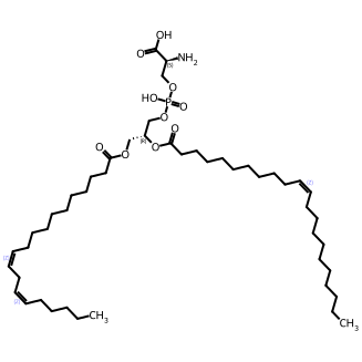 CCCCC/C=C\C/C=C\CCCCCCCCCC(=O)OC[C@H](COP(=O)(O)OC[C@H](N)C(=O)O)OC(=O)CCCCCCCCC/C=C\CCCCCCCCCC